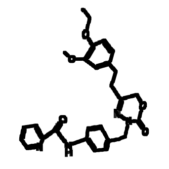 CCOc1ccc(CCC2=NN(Cc3ccc(NC(=O)c4ccccn4)cc3)C(=O)OC2)cc1OC